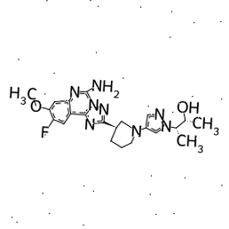 COc1cc2nc(N)n3nc([C@@H]4CCCN(c5cnn([C@@H](C)[C@@H](C)O)c5)C4)nc3c2cc1F